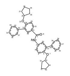 O=C(Nc1ccc(OC2CCCC2)c(-c2ccccc2)c1)c1ccc(OC2CCCC2)c(-c2ccccc2)c1